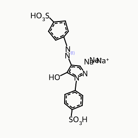 O=S(=O)(O)c1ccc(/N=N/c2cnn(-c3ccc(S(=O)(=O)O)cc3)c2O)cc1.[Na+].[Na+].[Na+]